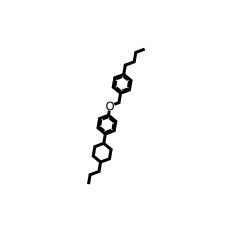 CCCCc1ccc(COc2ccc(C3CCC(CCC)CC3)cc2)cc1